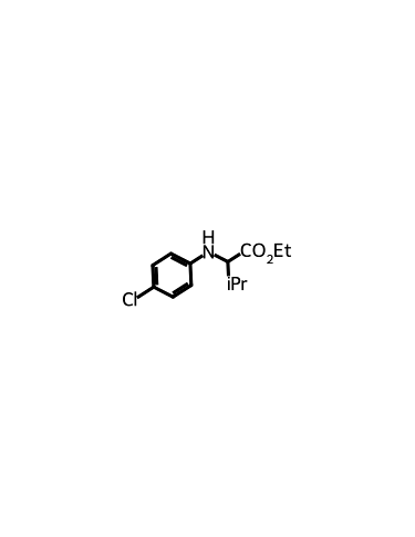 CCOC(=O)C(Nc1ccc(Cl)cc1)C(C)C